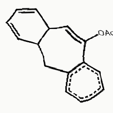 CC(=O)OC1=CC2C=CC=CC2Cc2ccccc21